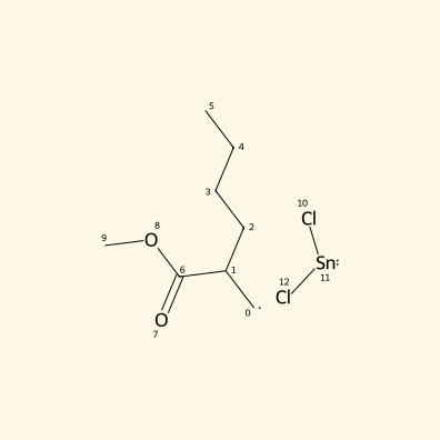 [CH2]C(CCCC)C(=O)OC.[Cl][Sn][Cl]